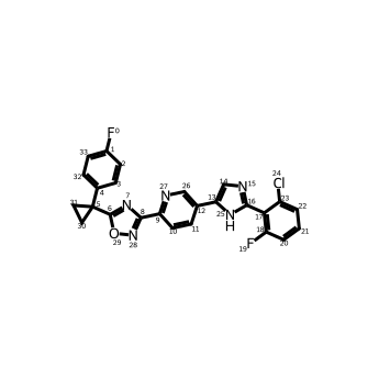 Fc1ccc(C2(c3nc(-c4ccc(-c5cnc(-c6c(F)cccc6Cl)[nH]5)cn4)no3)CC2)cc1